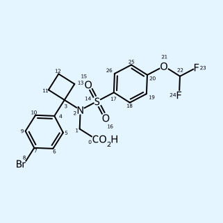 O=C(O)CN(C1(c2ccc(Br)cc2)CCC1)S(=O)(=O)c1ccc(OC(F)F)cc1